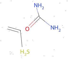 C=CC.NC(N)=O.S